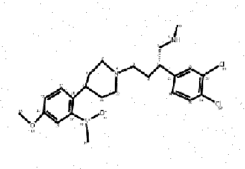 CNC[C@@H](CCN1CCC(c2ccc(OC)cc2[S+](C)[O-])CC1)c1ccc(Cl)c(Cl)c1